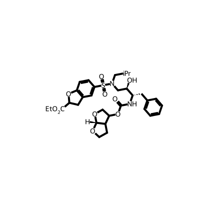 CCOC(=O)C1Cc2cc(S(=O)(=O)N(CC(C)C)C[C@@H](O)[C@H](Cc3ccccc3)NC(=O)OC3CO[C@H]4OCCC34)ccc2O1